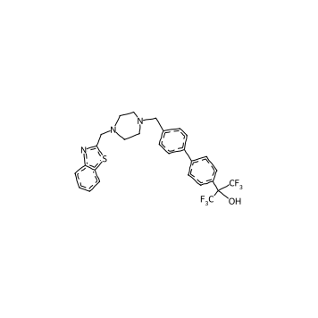 OC(c1ccc(-c2ccc(CN3CCN(Cc4nc5ccccc5s4)CC3)cc2)cc1)(C(F)(F)F)C(F)(F)F